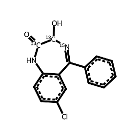 O=[13C]1Nc2ccc(Cl)cc2C(c2ccccc2)=[15N][13CH]1O